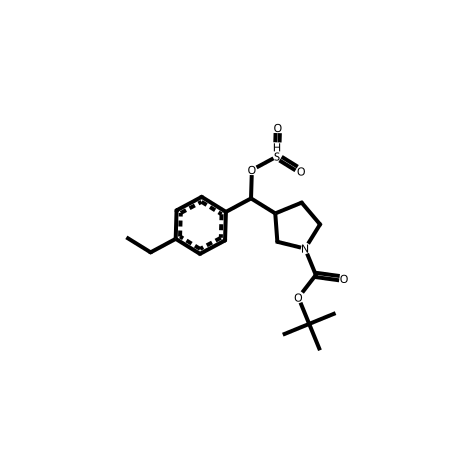 CCc1ccc(C(O[SH](=O)=O)C2CCN(C(=O)OC(C)(C)C)C2)cc1